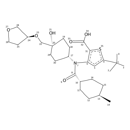 CC(C)(C)c1cc(N(C(=O)[C@H]2CC[C@H](C)CC2)[C@H]2CC[C@](O)(CO[C@H]3CCOC3)CC2)c(C(=O)O)s1